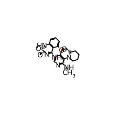 CNc1nccc(C=O)c1N1CCCC[C@@H]1COc1cccc2c1C(N)=NS(=O)(=O)N2